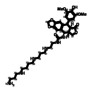 COc1cc(C2c3cc4c(cc3[C@@H](NC(=O)NCCNCCCNCCCCNCCCN)[C@H]3COC(=O)[C@H]23)OCO4)cc(OC)c1O